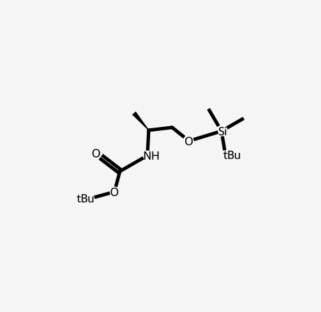 C[C@@H](CO[Si](C)(C)C(C)(C)C)NC(=O)OC(C)(C)C